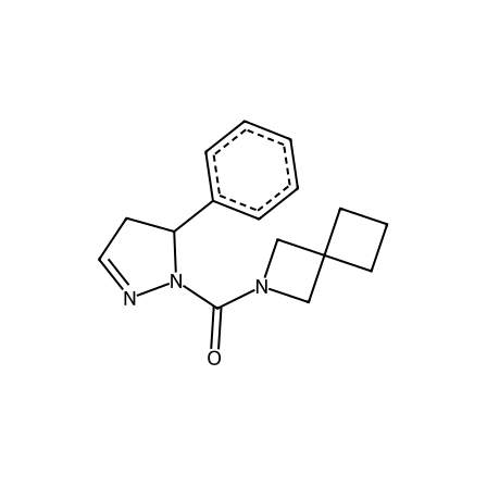 O=C(N1CC2(CCC2)C1)N1N=CCC1c1ccccc1